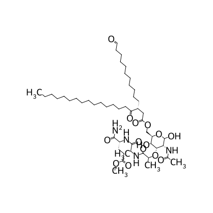 CCCCCCCCCCCCCCCC(=O)[C@H](CCCCCCCCCCC=O)CC(=O)OC[C@H]1OC(O)[C@H](NC(C)=O)[C@H](OC(C)C(=O)N[C@@H](C)C(=O)N[C@H](CCC(=O)OC)C(N)=O)[C@@H]1O